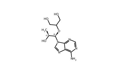 C[C@H](O)[C@@H](OC(CO)CO)n1cnc2c(N)ncnc21